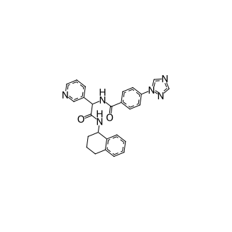 O=C(NC(C(=O)NC1CCCc2ccccc21)c1cccnc1)c1ccc(-n2cncn2)cc1